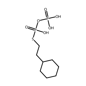 O=P(O)(O)OP(=O)(O)SCCC1CCCCC1